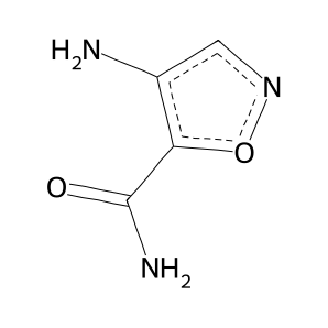 NC(=O)c1oncc1N